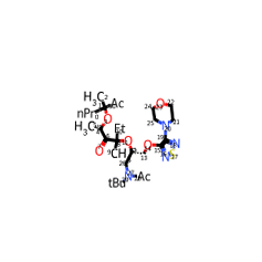 CCCC(C)(O[C@@H](C)C(=O)C(C)(CC)O[C@H](COc1nsnc1N1CCOCC1)CN(C(C)=O)C(C)(C)C)C(C)=O